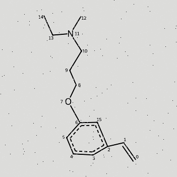 C=Cc1cccc(OCCCN(C)CC)c1